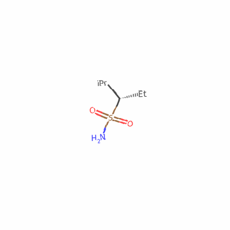 CC[C@@H](C(C)C)S(N)(=O)=O